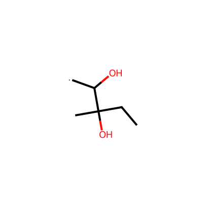 [CH2]C(O)C(C)(O)CC